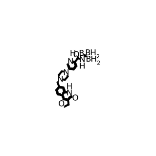 BC(B)(B)NC(=O)c1ccc(N2CCN(Cc3ccc4c5c(c(=O)[nH]c4c3)CCO5)CC2)cn1